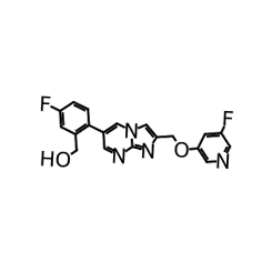 OCc1cc(F)ccc1-c1cnc2nc(COc3cncc(F)c3)cn2c1